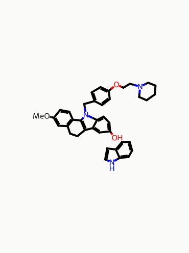 COc1ccc2c(c1)CCc1c-2n(Cc2ccc(OCCN3CCCCC3)cc2)c2ccc(O)cc12.c1ccc2[nH]ccc2c1